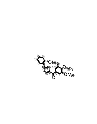 CCCOc1c(OC)cc(C(=O)c2csc(-c3ccccc3)n2)cc1OC